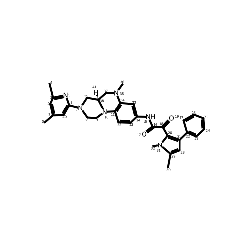 Cc1cc(C)nc(N2CCN3c4ccc(NC(=O)C(=O)c5c(-c6ccccc6)cc(C)n5C)cc4N(C)C[C@@H]3C2)c1